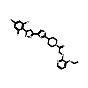 CCOc1cccnc1OCC(=O)N1CCC(c2nc(C3=NOC(c4c(Cl)cc(Cl)cc4Cl)C3)cs2)CC1